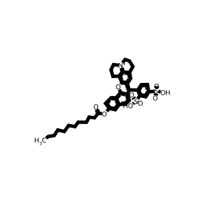 CCCCCCCCCCCC(=O)Oc1ccc2c3c(ccc2c1)C(c1ccc(S(=O)(=O)O)cc1S(=O)(=O)O)=c1cc2c4c(c1O3)CCC[N+]=4CCC2